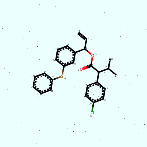 C=CC(OC(=O)C(c1ccc(Cl)cc1)C(C)C)c1cccc(Sc2ccccc2)c1